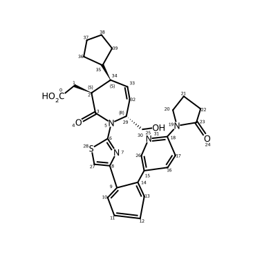 O=C(O)C[C@@H]1C(=O)N(c2nc(-c3ccccc3-c3ccc(N4CCCC4=O)nc3)cs2)[C@@H](CO)C=C[C@@H]1C1CCCC1